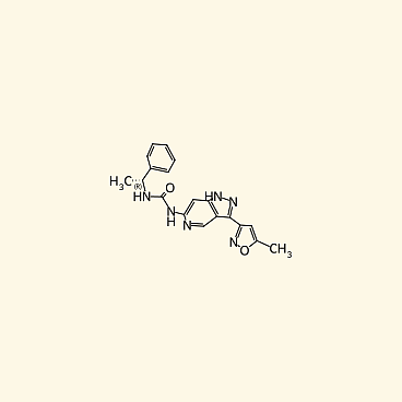 Cc1cc(-c2n[nH]c3cc(NC(=O)N[C@H](C)c4ccccc4)ncc23)no1